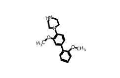 COc1ccccc1-c1ccc(N2CCNCC2)c(OC)c1